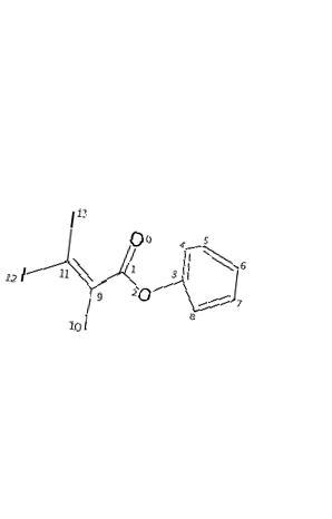 O=C(Oc1ccccc1)C(I)=C(I)I